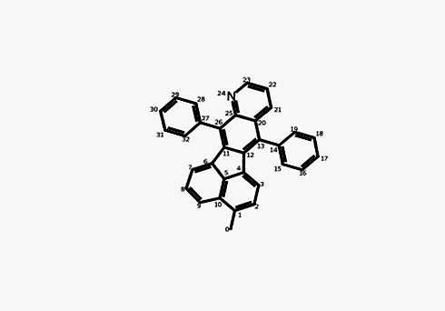 Cc1ccc2c3c(cccc13)-c1c-2c(-c2ccccc2)c2cccnc2c1-c1ccccc1